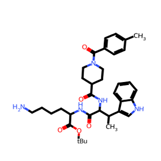 Cc1ccc(C(=O)N2CCC(C(=O)NC(C(=O)NC(CCCCN)C(=O)OC(C)(C)C)C(C)c3c[nH]c4ccccc34)CC2)cc1